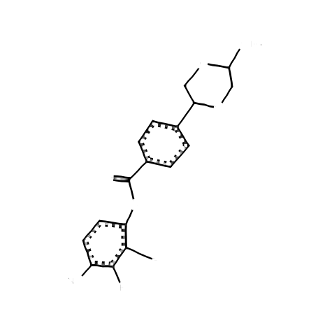 CCCCCCC1COC(c2ccc(C(=O)Oc3ccc(C#N)c(F)c3F)cc2)CO1